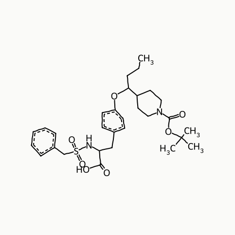 CCCC(Oc1ccc(CC(NS(=O)(=O)Cc2ccccc2)C(=O)O)cc1)C1CCN(C(=O)OC(C)(C)C)CC1